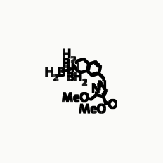 BC(B)(B)N1CCc2ccc(Cn3cc(C(=O)OC)c(COC)n3)cc2C1